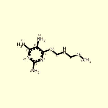 COCNCOc1nc(N)nc(N)c1N